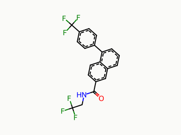 O=C(NCC(F)(F)F)c1ccc2c(-c3ccc(C(F)(F)F)cc3)cccc2c1